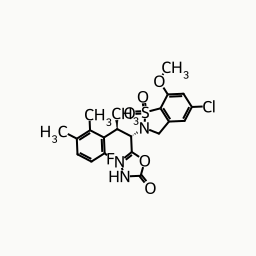 COc1cc(Cl)cc2c1S(=O)(=O)N([C@H](c1n[nH]c(=O)o1)[C@H](C)c1c(F)ccc(C)c1C)C2